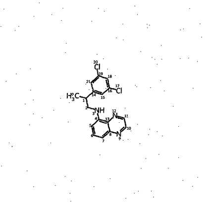 CC(CNc1cccc2nccnc12)c1cc(Cl)cc(Cl)c1